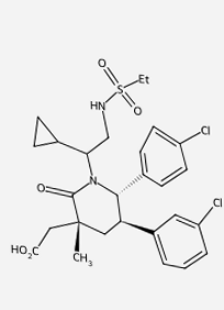 CCS(=O)(=O)NCC(C1CC1)N1C(=O)[C@@](C)(CC(=O)O)C[C@H](c2cccc(Cl)c2)[C@H]1c1ccc(Cl)cc1